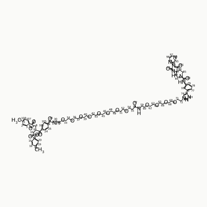 Cc1ccc(S(=O)(=O)CC(CS(=O)(=O)c2ccc(C)cc2)C(=O)c2ccc(C(=O)NCCOCCOCCOCCOCCOCCOCCOCCOCCC(=O)NCCOCCOCCOCCOCCn3cc(-c4cccc(NC(=O)N5CCC6(CC5)NC(=O)N(c5cnccn5)C6=O)c4)nn3)cc2)cc1